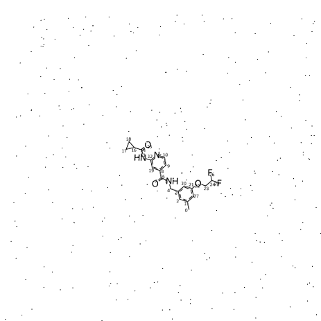 Cc1cc(CNC(=O)c2ccnc(NC(=O)C3CC3)c2)cc(OCC(F)F)c1